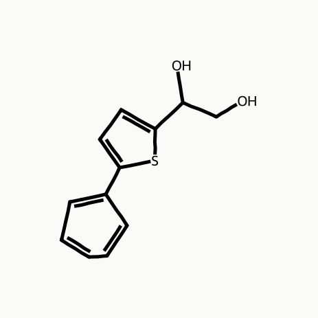 OCC(O)c1ccc(-c2ccccc2)s1